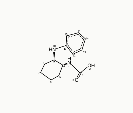 O=C(O)N[C@H]1CCCC[C@H]1Nc1ccccc1